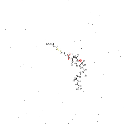 COCCSSCCCC(=O)Oc1c(C)c(C)c2c(c1C)CC[C@@](C)(CCC[C@H](C)CCC[C@H](C)CCCC(C)C)O2